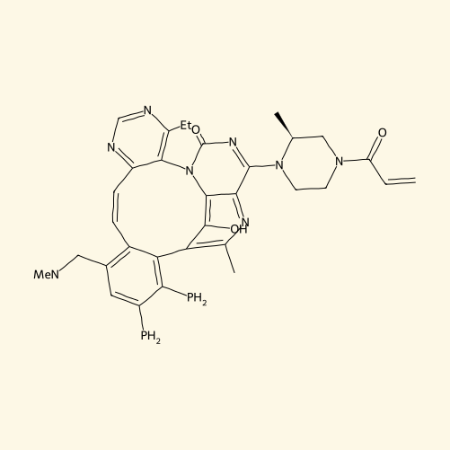 C=CC(=O)N1CCN(c2nc(=O)n3c4c(CC)ncnc4ccc4c(CNC)cc(P)c(P)c4c4c(C)nc2c3c4O)[C@@H](C)C1